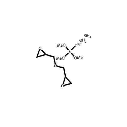 C(OCC1CO1)C1CO1.CCC[Si](OC)(OC)OC.O.[SiH4]